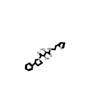 O=C(NCCc1cccs1)[C@H](O)[C@@H](O)C(=O)N1CCC(c2ccccc2)C1